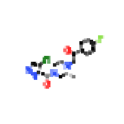 C[C@@H]1CN(C(=O)c2nn(C)cc2Cl)CCN1CC(=O)c1ccc(F)cc1